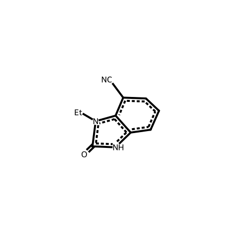 CCn1c(=O)[nH]c2cccc(C#N)c21